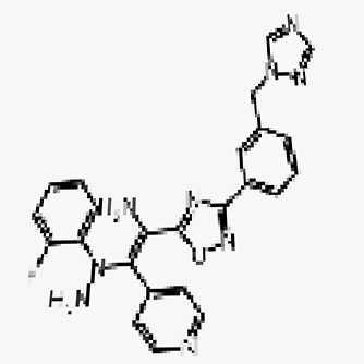 N/C(=C(/c1ccncc1)N(N)c1ccccc1F)c1nc(-c2cccc(Cn3cncn3)c2)no1